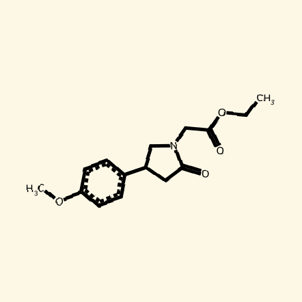 CCOC(=O)CN1CC(c2ccc(OC)cc2)CC1=O